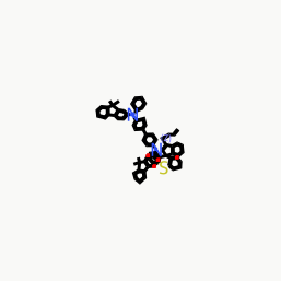 C=C/C=C\C1=C(N(c2ccc(-c3ccc(N(c4ccccc4)c4ccc5c(c4)C(C)(C)c4ccccc4-5)cc3)cc2)c2ccc3c(c2)C(C)(C)c2ccccc2-3)C2(c3ccccc3Sc3ccccc32)c2ccccc21